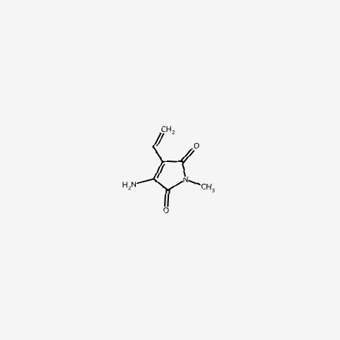 C=CC1=C(N)C(=O)N(C)C1=O